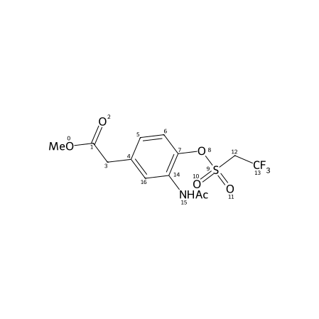 COC(=O)Cc1ccc(OS(=O)(=O)CC(F)(F)F)c(NC(C)=O)c1